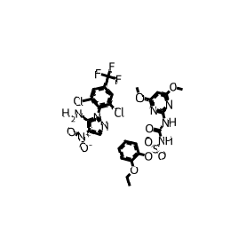 CCOc1ccccc1OS(=O)(=O)NC(=O)Nc1nc(OC)cc(OC)n1.Nc1c([N+](=O)[O-])cnn1-c1c(Cl)cc(C(F)(F)F)cc1Cl